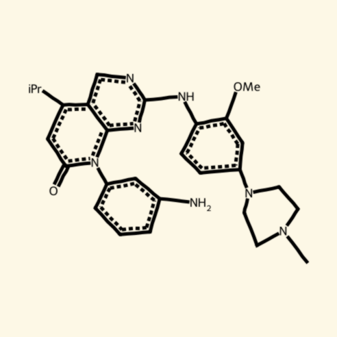 COc1cc(N2CCN(C)CC2)ccc1Nc1ncc2c(C(C)C)cc(=O)n(-c3cccc(N)c3)c2n1